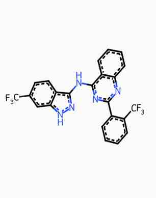 FC(F)(F)c1ccc2c(Nc3nc(-c4ccccc4C(F)(F)F)nc4ccccc34)n[nH]c2c1